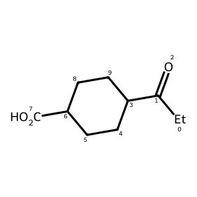 CCC(=O)C1CCC(C(=O)O)CC1